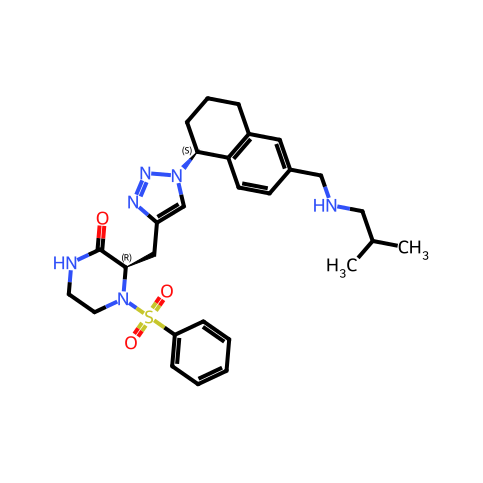 CC(C)CNCc1ccc2c(c1)CCC[C@@H]2n1cc(C[C@@H]2C(=O)NCCN2S(=O)(=O)c2ccccc2)nn1